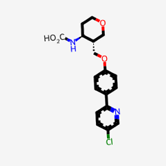 O=C(O)N[C@H]1CCOC[C@@H]1COc1ccc(-c2ccc(Cl)cn2)cc1